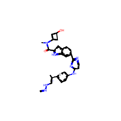 C=NN/C=C(\C)c1ccc(Nc2ccnc(-c3ccc4cc(C(=O)N(C)C5CC(O)C5)[nH]c4c3)n2)cc1